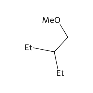 [C]OCC(CC)CC